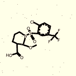 COC1C(C(=O)O)CCCN1S(=O)(=O)c1cc(C(F)(F)F)ccc1Cl